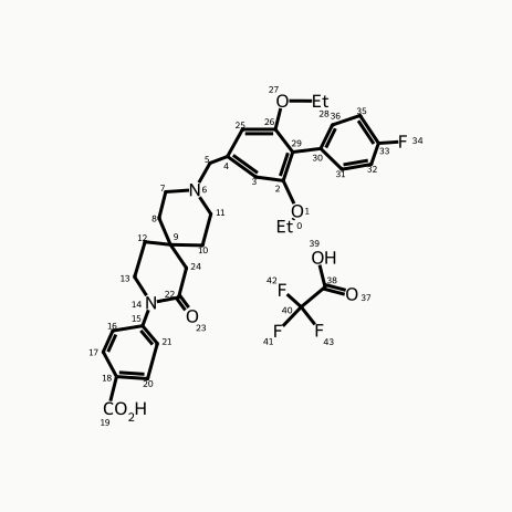 CCOc1cc(CN2CCC3(CC2)CCN(c2ccc(C(=O)O)cc2)C(=O)C3)cc(OCC)c1-c1ccc(F)cc1.O=C(O)C(F)(F)F